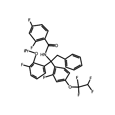 CC(C)Oc1c(F)cccc1C(Cc1ccccc1)(NC(=O)c1ccc(F)cc1F)c1ccc(OC(F)(F)C(F)F)cc1F